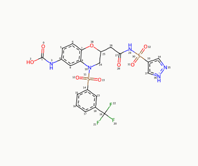 O=C(O)Nc1ccc2c(c1)N(S(=O)(=O)c1cccc(C(F)(F)F)c1)CC(CC(=O)NS(=O)(=O)c1cn[nH]c1)O2